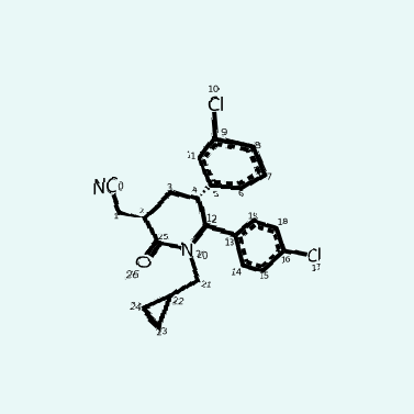 N#CC[C@H]1C[C@H](c2cccc(Cl)c2)C(c2ccc(Cl)cc2)N(CC2CC2)C1=O